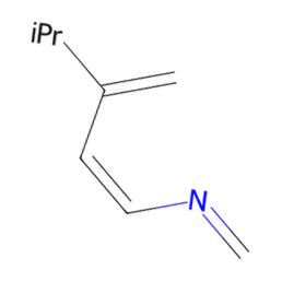 C=N/C=C\C(=C)C(C)C